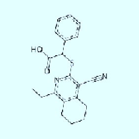 CCc1nc(SC(C(=O)O)c2ccccc2)c(C#N)c2c1CCCC2